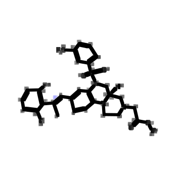 C/C(=C\c1ccc2c(c1)N(S(=O)(=O)c1cccc(C(F)(F)F)c1)C[C@@H]1CN(CC(=O)OC(C)C)CCN21)c1c(F)cccc1Cl